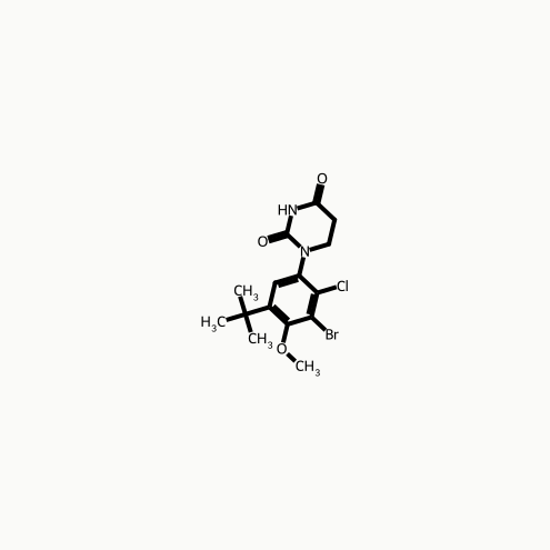 COc1c(C(C)(C)C)cc(N2CCC(=O)NC2=O)c(Cl)c1Br